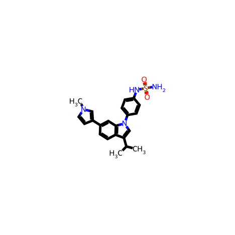 CC(C)c1cn(-c2ccc(NS(N)(=O)=O)cc2)c2cc(-c3ccn(C)c3)ccc12